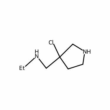 CCNCC1(Cl)CCNC1